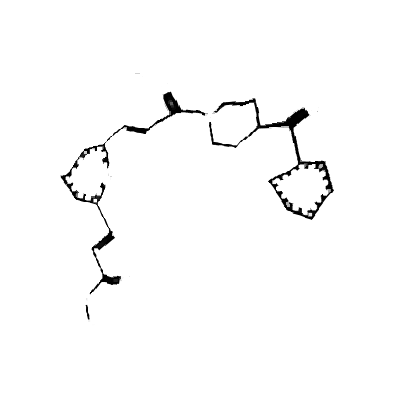 Cl.O=C(C=Cc1cccc(C=CC(=O)N2CCC(C(=O)c3ccccc3)CC2)n1)NO